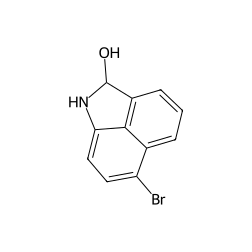 OC1Nc2ccc(Br)c3cccc1c23